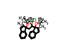 CC(C)(C)[Si](C)(C)OC1(C[CH]([Zr]([Cl])[Cl])C2(O[Si](C)(C)C(C)(C)C)C=Cc3ccccc32)C=Cc2ccccc21